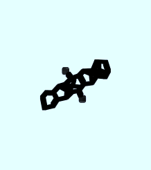 CC(C)=C1C2C3=C(C(=O)C4=C(C3=O)C3C(=C(C)C)C4c4ccccc43)C1c1ccccc12